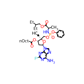 C#C[C@]1(CO[P@@](=O)(NC(C)C(=O)OCC(CC)CC)Oc2ccccc2)O[C@@H](n2cnc3c(N)nc(F)nc32)C[C@@H]1OC(=O)CCCCCCCC